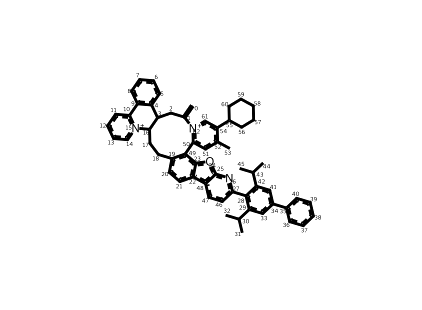 C=C1CC2c3ccccc3-c3cccc[n+]3C2CCc2ccc3c(oc4nc(-c5c(C(C)C)cc(-c6ccccc6)cc5C(C)C)ccc43)c2-c2cc(C)c(C3CCCCC3)c[n+]21